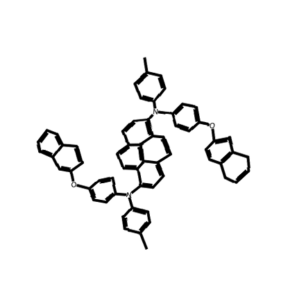 Cc1ccc(N(c2ccc(Oc3ccc4c(c3)CC=CC4)cc2)c2ccc3ccc4c(N(c5ccc(C)cc5)c5ccc(Oc6ccc7ccccc7c6)cc5)ccc5ccc2c3c54)cc1